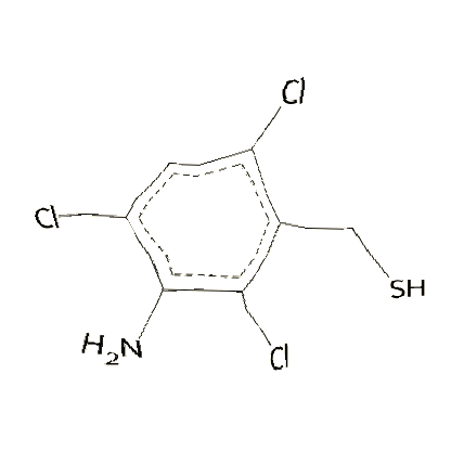 Nc1c(Cl)cc(Cl)c(CS)c1Cl